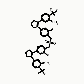 Cc1cc(C2=C(c3ccc(CS(=O)(=O)Cc4ccc(C5=C(c6ccc(C(F)(F)F)c(C)c6)CCC5)cc4F)c(F)c3)CCC2)ccc1C(F)(F)F